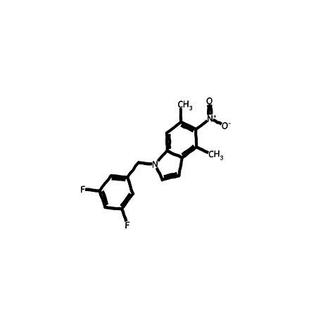 Cc1cc2c(ccn2Cc2cc(F)cc(F)c2)c(C)c1[N+](=O)[O-]